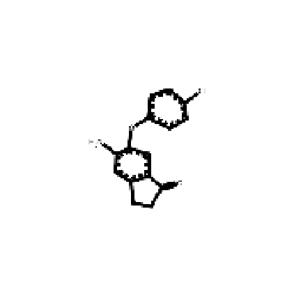 Nc1cc2c(cc1Oc1ccc(Cl)cc1)C(=O)CC2